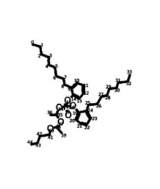 CCCCCCCCCc1ccccc1OP(=O)(Oc1ccccc1CCCCCCCCC)OC(C)OC(C)OCCCC